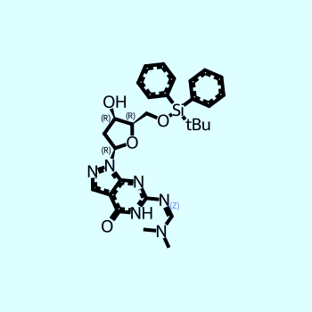 CN(C)/C=N\c1nc2c(cnn2[C@H]2C[C@@H](O)[C@@H](CO[Si](c3ccccc3)(c3ccccc3)C(C)(C)C)O2)c(=O)[nH]1